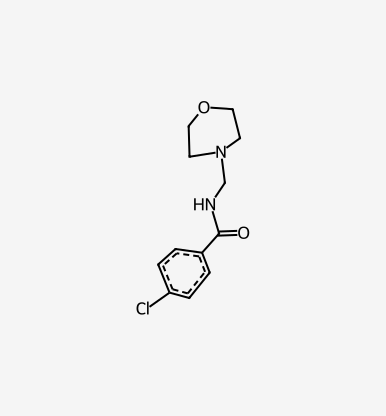 O=C(NCN1CCOCC1)c1ccc(Cl)cc1